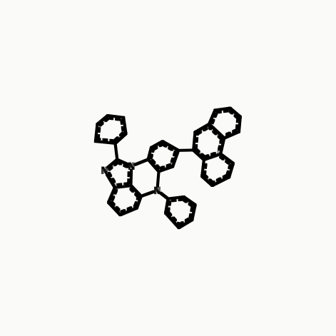 c1ccc(-c2nc3cccc4c3n2-c2ccc(-c3cc5ccccc5c5ccccc35)cc2N4c2ccccc2)cc1